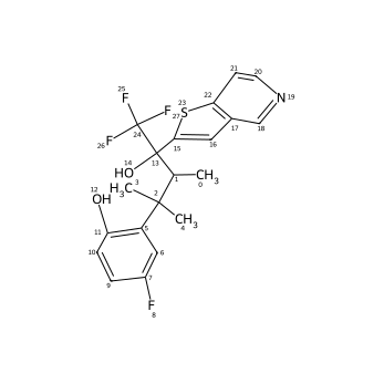 CC(C(C)(C)c1cc(F)ccc1O)C(O)(c1cc2cnccc2s1)C(F)(F)F